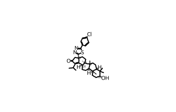 CC(C)C1=C2[C@H]3CC[C@@H]4[C@@]5(C)CC[C@H](O)C(C)(C)[C@@H]5CC[C@@]4(C)[C@]3(C)CC[C@@]2(c2nnc(-c3ccc(Cl)cc3)s2)CC1=O